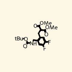 COC(=O)C(Cc1cc(F)c(F)cc1CNC(=O)OC(C)(C)C)C(=O)OC